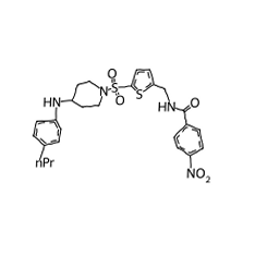 CCCc1ccc(NC2CCN(S(=O)(=O)c3ccc(CNC(=O)c4ccc([N+](=O)[O-])cc4)s3)CC2)cc1